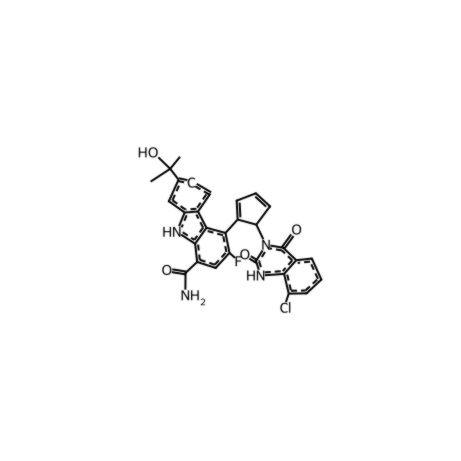 CC(C)(O)c1ccc2c(c1)[nH]c1c(C(N)=O)cc(F)c(C3=CC=CC3n3c(=O)[nH]c4c(Cl)cccc4c3=O)c12